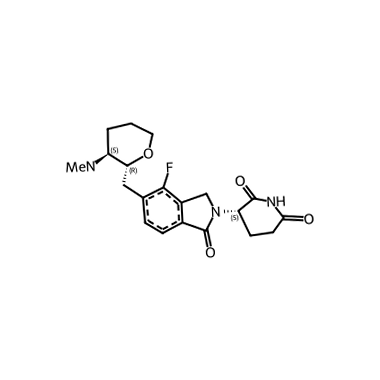 CN[C@H]1CCCO[C@@H]1Cc1ccc2c(c1F)CN([C@H]1CCC(=O)NC1=O)C2=O